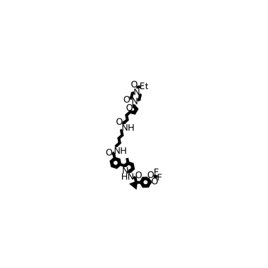 CCC(=O)N1CCN(c2ccc(CCC(=O)NCCCCCNC(=O)c3cccc(-c4nc(NC(=O)C5(c6ccc7c(c6)OC(F)(F)O7)CC5)ccc4C)c3)o2)C(=O)C1